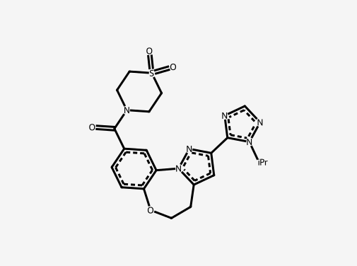 CC(C)n1ncnc1-c1cc2n(n1)-c1cc(C(=O)N3CCS(=O)(=O)CC3)ccc1OCC2